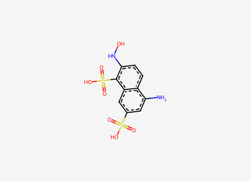 Nc1cc(S(=O)(=O)O)cc2c(S(=O)(=O)O)c(NO)ccc12